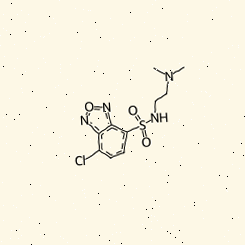 CN(C)CCNS(=O)(=O)c1ccc(Cl)c2nonc12